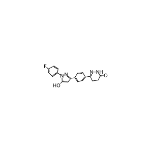 O=C1CCC(c2ccc(-c3cc(O)n(-c4ccc(F)cc4)n3)cc2)=NN1